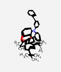 CC(C)(C)c1cc(C(C)(C)C)c2c(c1)C(C)(C)c1cccc(-c3ccccc3N(c3cccc(-c4ccccc4)c3)c3cccc4oc5ccccc5c34)c1-2